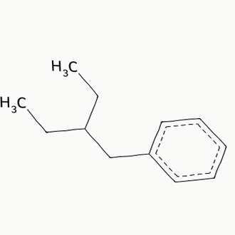 CCC(CC)Cc1ccccc1